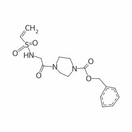 C=CS(=O)(=O)NCC(=O)N1CCN(C(=O)OCc2ccccc2)CC1